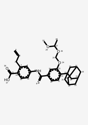 C=CCc1cc(NC(=S)c2ccc(C34CC5CC(CC(C5)C3)C4)c(OCOC(C)OC)c2)ccc1C(=O)O